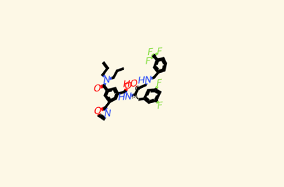 CCCN(CCC)C(=O)c1cc(C(=O)N[C@@H](Cc2cc(F)cc(F)c2)[C@H](O)CNCc2cccc(C(F)(F)F)c2)cc(-c2ncco2)c1